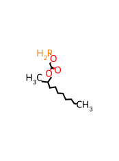 CCCCCCCCC(CC)COC(=O)COP